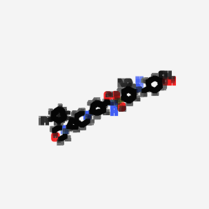 CC(C)c1ccccc1[C@@H]1COCCN1[C@H]1CC2(CCN(c3ccc(C(=O)NS(=O)(=O)c4ccc(NCC5CCC(C)(O)CC5)c([N+](=O)[O-])c4)cc3)CC2)[C@H]1C